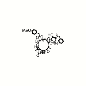 COc1ccc(CC(=O)O[C@H]2[C@H](C)[C@@H](O[C@@H]3O[C@H](C)C[C@H](N(C)Cc4ccccc4)[C@H]3O)[C@@](C)(OC)C[C@@H](C)C(=O)[C@H](C)[C@H]3NC(=O)O[C@@]34C(C)[C@H]4OC(=O)[C@@H]2C)cc1